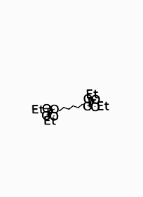 CCOP(=O)(OCC)OCCCCCCOP(=O)(OCC)OCC